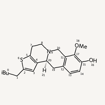 CCC(C)Cc1cc2c(s1)CCN1Cc3c(ccc(O)c3OC)C[C@@H]21